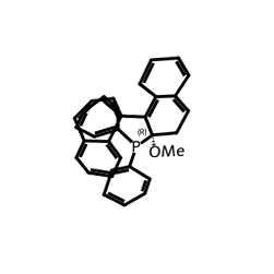 CO[C@@]1(P(c2ccccc2)c2ccccc2)CC=c2ccccc2=C1c1cccc2ccccc12